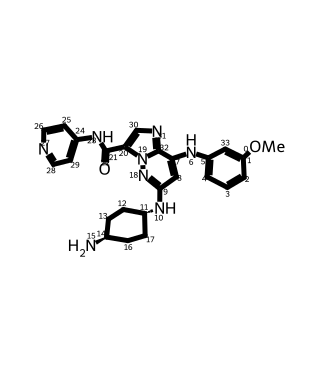 COc1cccc(Nc2cc(N[C@H]3CC[C@H](N)CC3)nn3c(C(=O)Nc4ccncc4)cnc23)c1